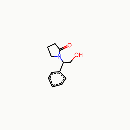 O=C1CCCN1[C@@H](CO)c1ccccc1